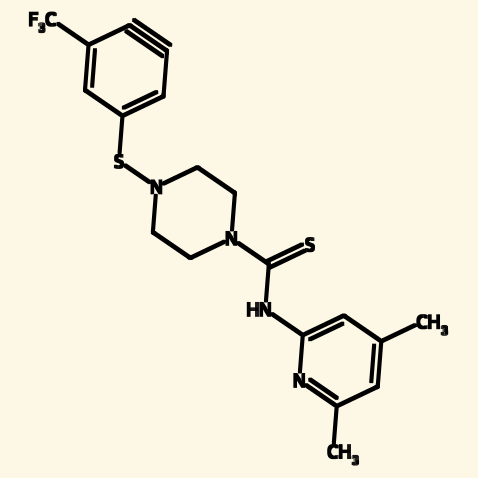 Cc1cc(C)nc(NC(=S)N2CCN(Sc3cc#cc(C(F)(F)F)c3)CC2)c1